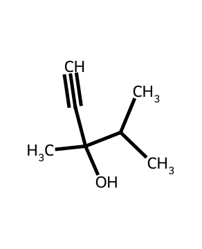 C#CC(C)(O)C(C)C